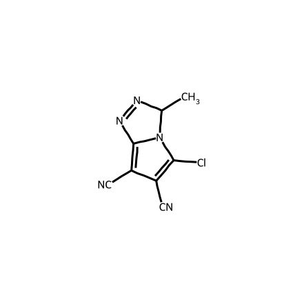 CC1N=Nc2c(C#N)c(C#N)c(Cl)n21